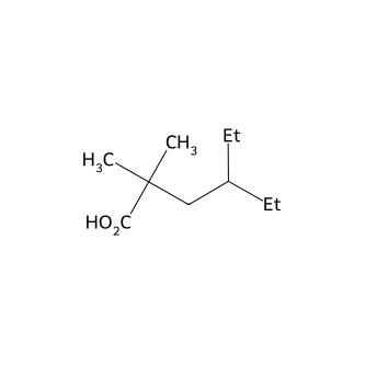 CCC(CC)CC(C)(C)C(=O)O